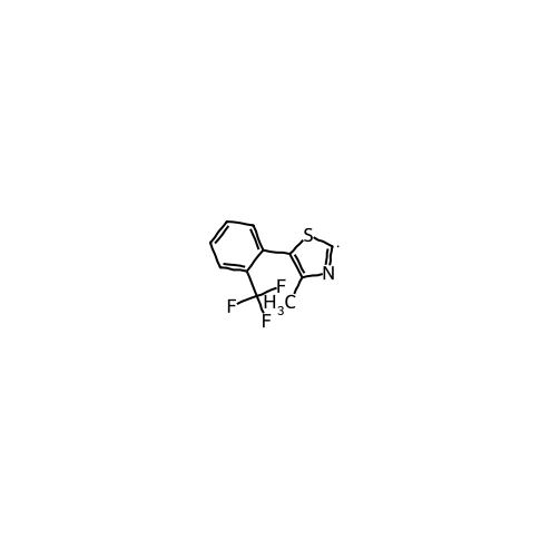 Cc1n[c]sc1-c1ccccc1C(F)(F)F